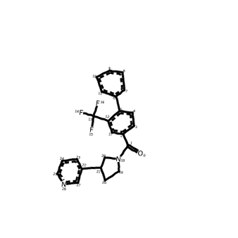 O=C(c1ccc(-c2ccccc2)c(C(F)(F)F)c1)N1CCC(c2cccnc2)C1